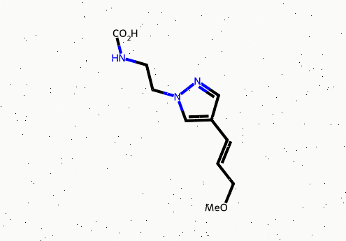 COCC=Cc1cnn(CCNC(=O)O)c1